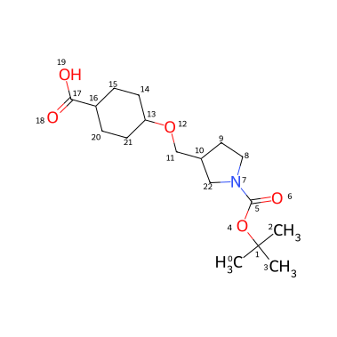 CC(C)(C)OC(=O)N1CCC(COC2CCC(C(=O)O)CC2)C1